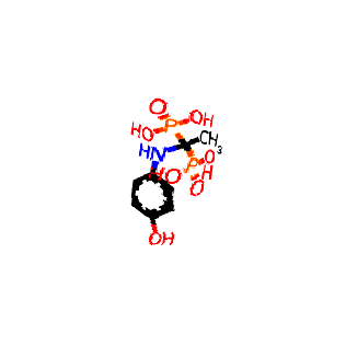 CC(Nc1ccc(O)cc1)(P(=O)(O)O)P(=O)(O)O